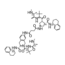 C=C(N[C@H](C(=O)C1C[C@@H](NC(=O)CCC(=O)Nc2ccc3c(c2)CN(C(=O)[C@@H](NC(=O)[C@H](C)NC)C(C)(C)C)[C@H](C(=O)N[C@@H]2CCCc4ccccc42)C3)C[C@H]1C(=O)N[C@@H]1CCCc2ccccc21)C(C)(C)C)[C@H](C)NC